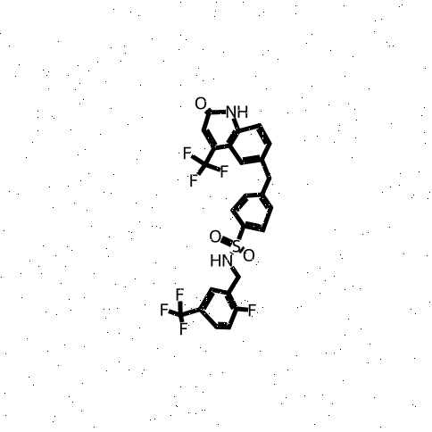 O=c1cc(C(F)(F)F)c2cc(Cc3ccc(S(=O)(=O)NCc4cc(C(F)(F)F)ccc4F)cc3)ccc2[nH]1